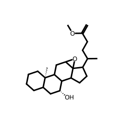 C=C(CCC(C)C1CCC2C3C(CC4OC412)[C@]1(C)CCCCC1C[C@H]3O)OC